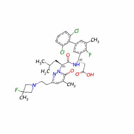 Cc1cc(-c2c(Cl)cccc2Cl)cc([C@H](CC(=O)O)NC(=O)[C@H](CC(C)C)n2nc(CCN3CC(C)(F)C3)cc(C)c2=O)c1F